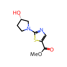 COC(=O)c1cnc(N2CC[C@H](O)C2)s1